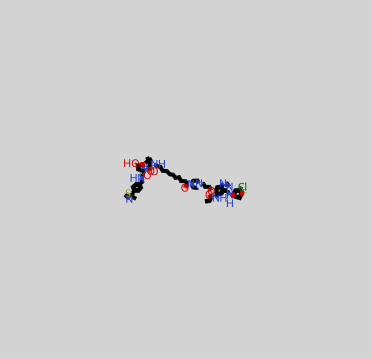 C=CC(=O)Nc1cc2c(Nc3ccc(F)c(Cl)c3)ncnc2cc1OCCCN1CCN(C(=O)CCCCCCCCCC(=O)NC(C(=O)N2C[C@H](O)C[C@H]2C(=O)NCc2ccc(-c3scnc3C)cc2)C(C)(C)C)CC1